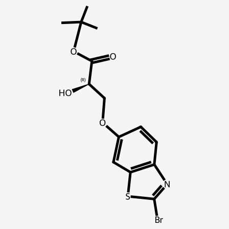 CC(C)(C)OC(=O)[C@H](O)COc1ccc2nc(Br)sc2c1